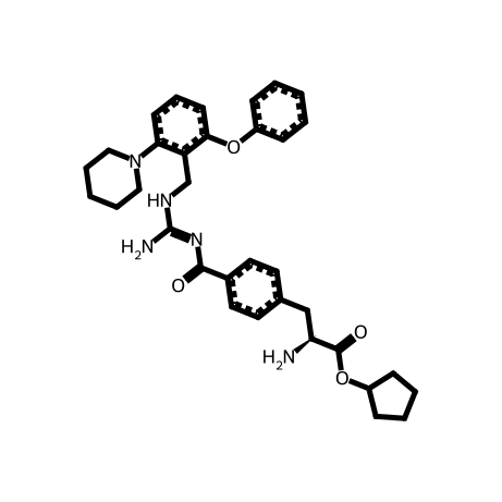 N/C(=N\C(=O)c1ccc(C[C@H](N)C(=O)OC2CCCC2)cc1)NCc1c(Oc2ccccc2)cccc1N1CCCCC1